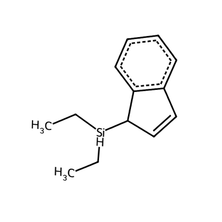 CC[SiH](CC)C1C=Cc2ccccc21